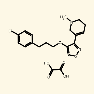 CN1CCC=C(c2nsnc2OCCCc2ccc(Cl)cc2)C1.O=C(O)C(=O)O